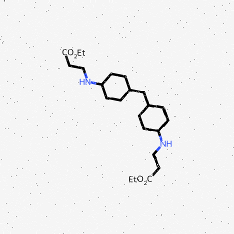 CCOC(=O)CCNC1CCC(CC2CCC(NCCC(=O)OCC)CC2)CC1